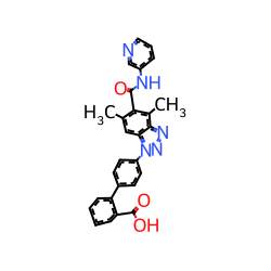 Cc1cc2c(nnn2-c2ccc(-c3ccccc3C(=O)O)cc2)c(C)c1C(=O)Nc1cccnc1